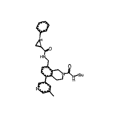 Cc1cncc(-c2ccc(CNC(=O)C3C[C@H]3c3ccccc3)c3c2CCN(C(=O)NC(C)(C)C)C3)c1